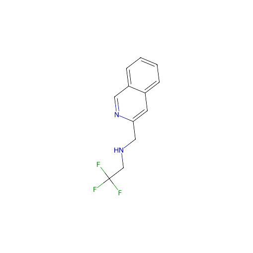 FC(F)(F)CNCc1cc2ccccc2cn1